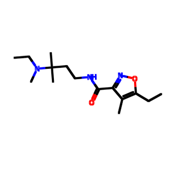 CCc1onc(C(=O)NCCC(C)(C)N(C)CC)c1C